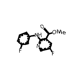 COC(=O)c1cc(F)cnc1Nc1cccc(F)c1